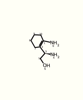 NC1=C([C@@H](N)CO)CCCC1